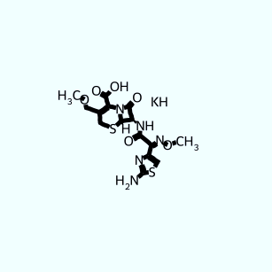 COCC1=C(C(=O)O)N2C(=O)[C@@H](NC(=O)C(=NOC)c3csc(N)n3)[C@H]2SC1.[KH]